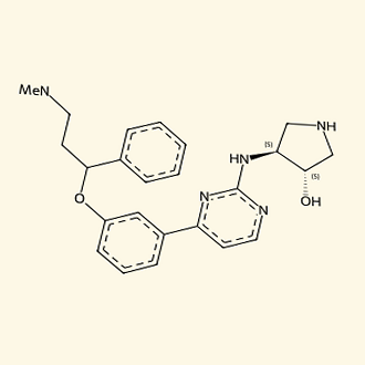 CNCCC(Oc1cccc(-c2ccnc(N[C@H]3CNC[C@@H]3O)n2)c1)c1ccccc1